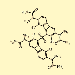 CCc1c(N(N)C(N)=O)ccc2c1-c1c-2cc(N(N)C(N)=O)c(CC)c1S(=O)(=O)c1c(CC)c(N(N)C(N)=O)cc2c1-c1c-2ccc(N(N)C(N)=O)c1CC